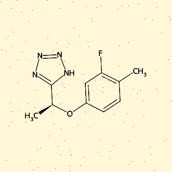 Cc1ccc(O[C@@H](C)c2nnn[nH]2)cc1F